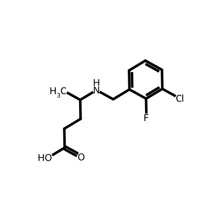 CC(CCC(=O)O)NCc1cccc(Cl)c1F